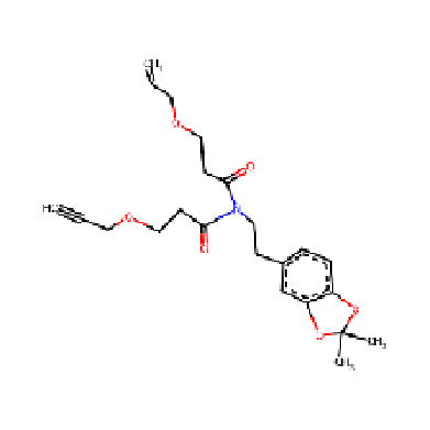 C#CCOCCC(=O)N(CCc1ccc2c(c1)OC(C)(C)O2)C(=O)CCOCC=C